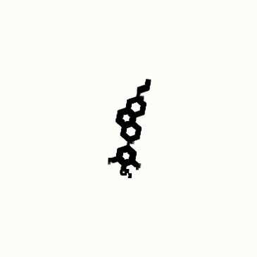 CC=C[C@H]1CCc2c(ccc3c2CC[C@H](c2cc(F)c(C(F)(F)F)c(F)c2)C3)C1